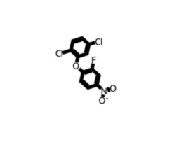 O=[N+]([O-])c1ccc(Oc2cc(Cl)ccc2Cl)c(F)c1